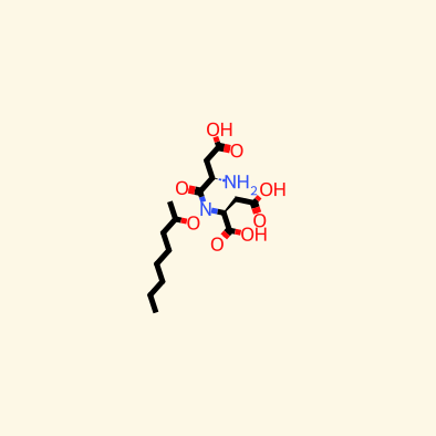 CCCCCCC(C)ON(C(=O)[C@@H](N)CC(=O)O)[C@@H](CC(=O)O)C(=O)O